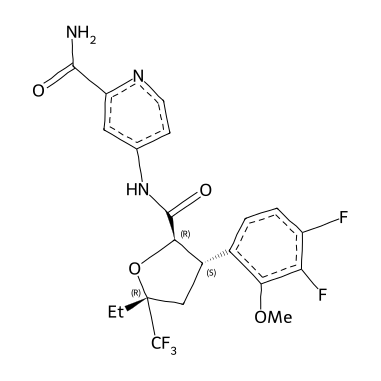 CC[C@]1(C(F)(F)F)C[C@@H](c2ccc(F)c(F)c2OC)[C@H](C(=O)Nc2ccnc(C(N)=O)c2)O1